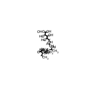 CC(=O)C(C)O.CC(=O)O.CC(C)=O.CCCC(=O)O.CCCCO.CCO.O=C[C@H](O)[C@@H](O)[C@H](O)[C@H](O)CO